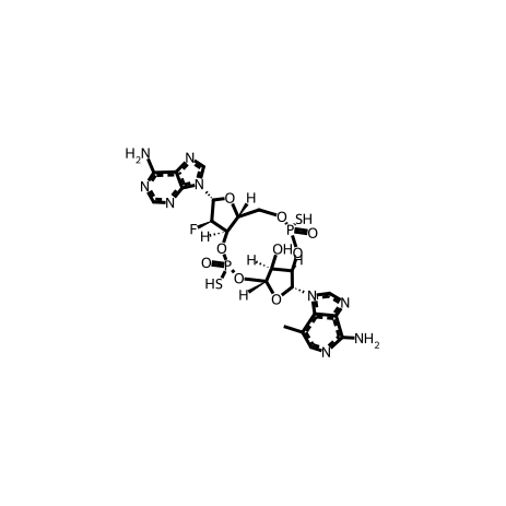 Cc1cnc(N)c2ncn([C@@H]3O[C@@H]4OP(=O)(S)O[C@H]5[C@@H](F)[C@H](n6cnc7c(N)ncnc76)O[C@@H]5COP(=O)(S)O[C@@H]3[C@@H]4O)c12